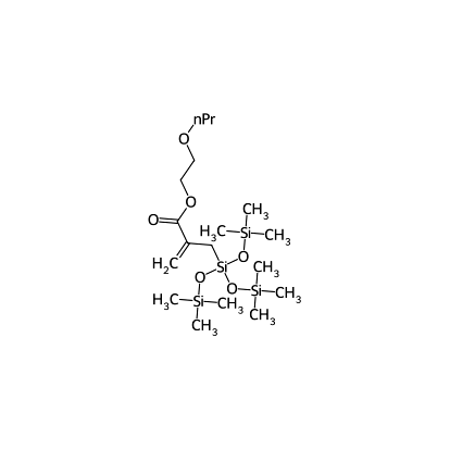 C=C(C[Si](O[Si](C)(C)C)(O[Si](C)(C)C)O[Si](C)(C)C)C(=O)OCCOCCC